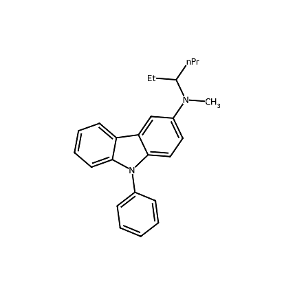 CCCC(CC)N(C)c1ccc2c(c1)c1ccccc1n2-c1ccccc1